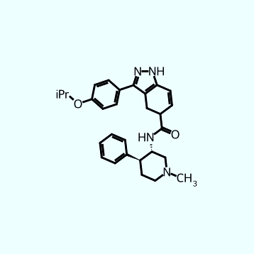 CC(C)Oc1ccc(-c2n[nH]c3c2CC(C(=O)N[C@@H]2CN(C)CC[C@H]2c2ccccc2)C=C3)cc1